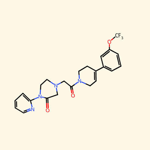 O=C(CN1CCN(c2ccccn2)C(=O)C1)N1CC=C(c2cccc(OC(F)(F)F)c2)CC1